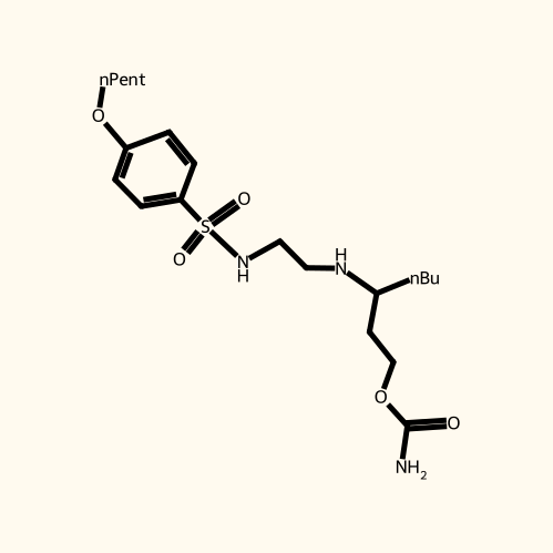 CCCCCOc1ccc(S(=O)(=O)NCCNC(CCCC)CCOC(N)=O)cc1